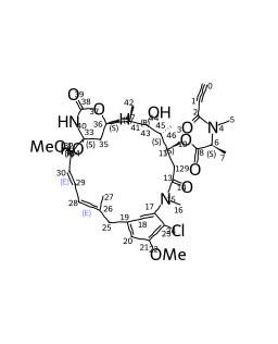 C#CC(=O)N(C)[C@@H](C)C(=O)O[C@H]1CC(=O)N(C)c2cc(cc(OC)c2Cl)C/C(C)=C/C=C/[C@@H](OC)[C@@]2(O)C[C@H](OC(=O)N2)[C@@H](C)[C@H](O)[C@@H]1C